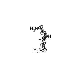 NCc1ccc2c(c1)C1(CCN(C(=O)c3cccc(OC[C@]4(O)CO[C@](O)(COc5cccc(C(=O)N6CCC7(CC6)COc6ccc(CN)cc67)c5)CO4)c3)CC1)CO2